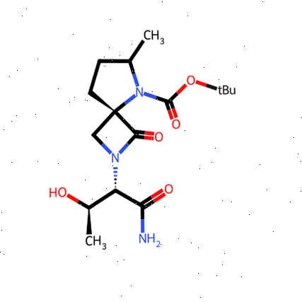 CC1CC[C@@]2(CN([C@H](C(N)=O)[C@@H](C)O)C2=O)N1C(=O)OC(C)(C)C